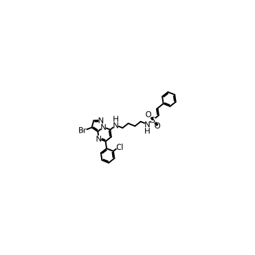 O=S(=O)(/C=C/c1ccccc1)NCCCCNc1cc(-c2ccccc2Cl)nc2c(Br)cnn12